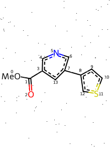 COC(=O)c1cncc(-c2ccsc2)c1